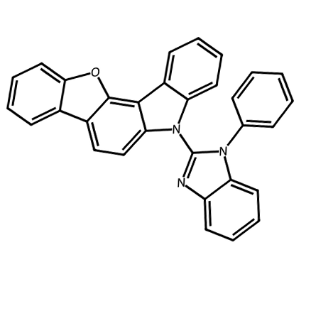 c1ccc(-n2c(-n3c4ccccc4c4c5oc6ccccc6c5ccc43)nc3ccccc32)cc1